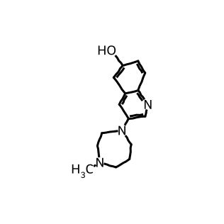 CN1CCCN(c2cnc3ccc(O)cc3c2)CC1